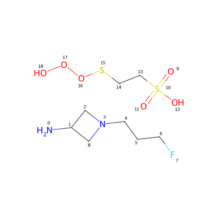 NC1CN(CCCF)C1.O=S(=O)(O)CCSOOO